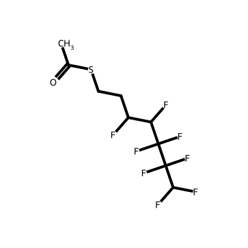 CC(=O)SCCC(F)C(F)C(F)(F)C(F)(F)C(F)F